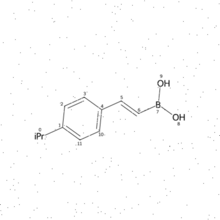 CC(C)c1ccc(/C=C/B(O)O)cc1